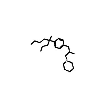 CCCCC(C)(CCC)c1ccc(CC(C)CN2CCCCC2)cc1